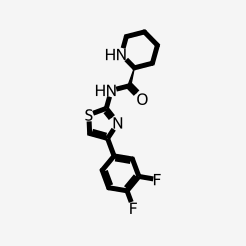 O=C(Nc1nc(-c2ccc(F)c(F)c2)cs1)[C@@H]1CCCCN1